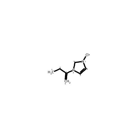 C=C(CC)N1C=CN(Cl)C1